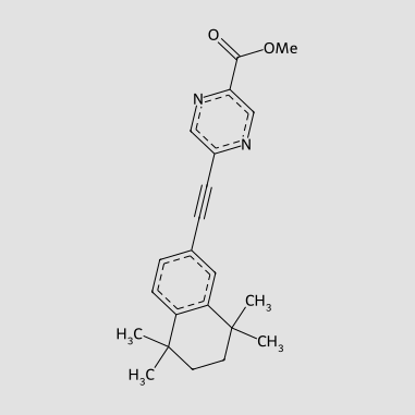 COC(=O)c1cnc(C#Cc2ccc3c(c2)C(C)(C)CCC3(C)C)cn1